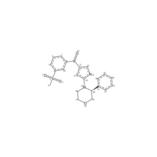 CS(=O)(=O)c1cccc(C(=O)c2cnc(N3CCOC[C@@H]3c3ccccc3)s2)c1